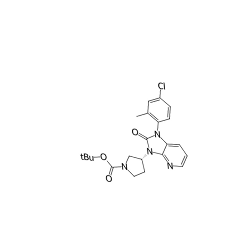 Cc1cc(Cl)ccc1-n1c(=O)n([C@@H]2CCN(C(=O)OC(C)(C)C)C2)c2ncccc21